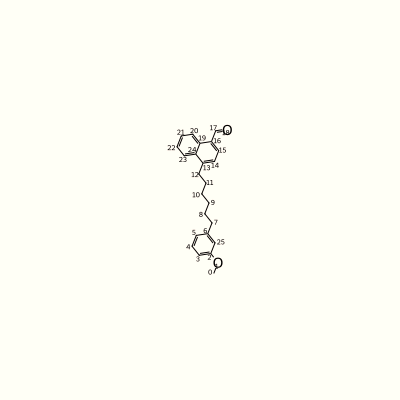 COc1cccc(CCCCCCc2ccc(C=O)c3ccccc23)c1